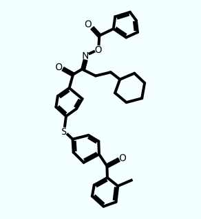 Cc1ccccc1C(=O)c1ccc(Sc2ccc(C(=O)/C(CCC3CCCCC3)=N/OC(=O)c3ccccc3)cc2)cc1